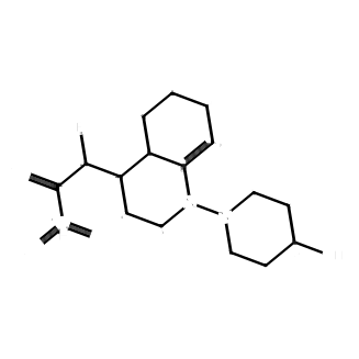 CCC(C(=O)[SH](=O)=O)C1CCN(N2CCC(C)CC2)C2=CCCCC21